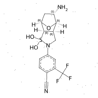 N#Cc1ccc(N2C[C@@H]3[C@H]4O[C@H](C[C@@H]4N)[C@@H]3S2(O)O)cc1C(F)(F)F